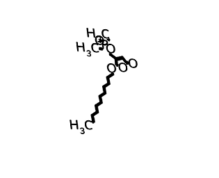 CCCCCCCCCCCCOC1OC(=O)C=C1COP(=O)(CC)CC